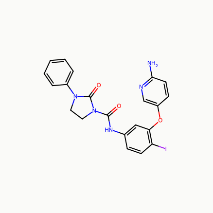 Nc1ccc(Oc2cc(NC(=O)N3CCN(c4ccccc4)C3=O)ccc2I)cn1